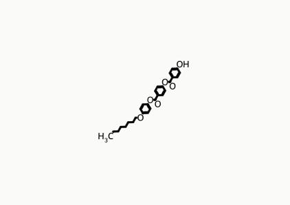 CCCCCCCCOc1ccc(OC(=O)c2ccc(OC(=O)c3ccc(O)cc3)cc2)cc1